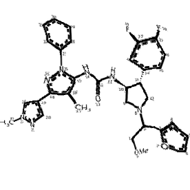 COCC(c1ccco1)N1C[C@@H](NC(=O)Nc2c(C)c(-c3cnn(C)c3)nn2-c2ccccc2)[C@H](c2ccc(F)c(F)c2)C1